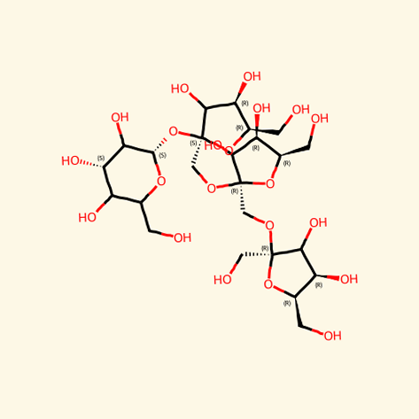 OCC1O[C@@H](O[C@]2(CO[C@]3(CO[C@]4(CO)O[C@H](CO)[C@H](O)C4O)O[C@H](CO)[C@H](O)C3O)O[C@H](CO)[C@H](O)C2O)C(O)[C@@H](O)C1O